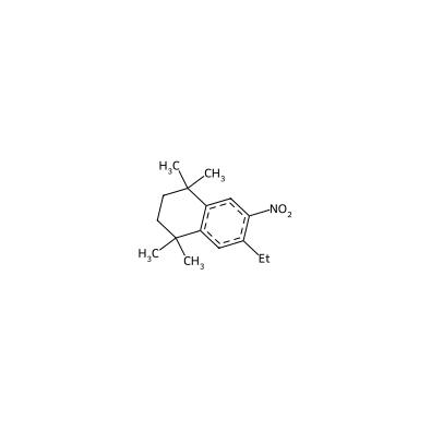 CCc1cc2c(cc1[N+](=O)[O-])C(C)(C)CCC2(C)C